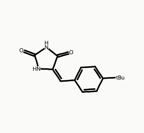 CC(C)(C)c1ccc(C=C2NC(=O)NC2=O)cc1